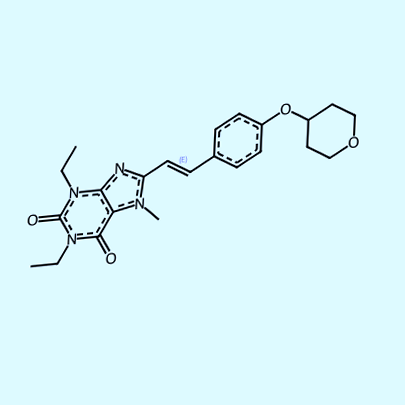 CCn1c(=O)c2c(nc(/C=C/c3ccc(OC4CCOCC4)cc3)n2C)n(CC)c1=O